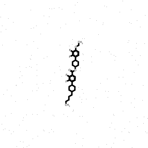 CCCCCC1CCC(c2ccc(C(=O)OC3CCC(c4ccc(OCC)c(F)c4F)CC3)c(F)c2F)CC1